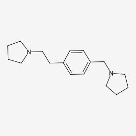 c1cc(CN2CCCC2)ccc1CCN1CCCC1